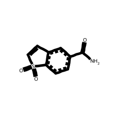 NC(=O)c1ccc2c(c1)C=CS2(=O)=O